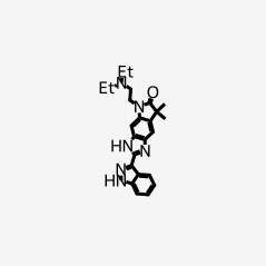 CCN(CC)CCN1C(=O)C(C)(C)c2cc3nc(-c4n[nH]c5ccccc45)[nH]c3cc21